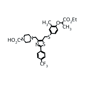 CCOC(=O)C(C)Oc1ccc(SCc2sc(-c3ccc(C(F)(F)F)cc3)nc2CN2CCN(C(=O)O)CC2)cc1C